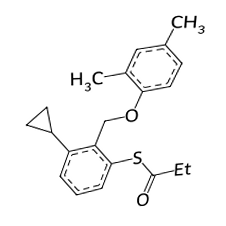 CCC(=O)Sc1cccc(C2CC2)c1COc1ccc(C)cc1C